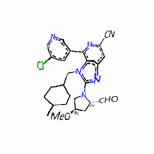 CO[C@@H]1C[C@@H](C=O)N(c2nc3cc(C#N)nc(-c4cncc(Cl)c4)c3n2CC2CCC(C)CC2)C1